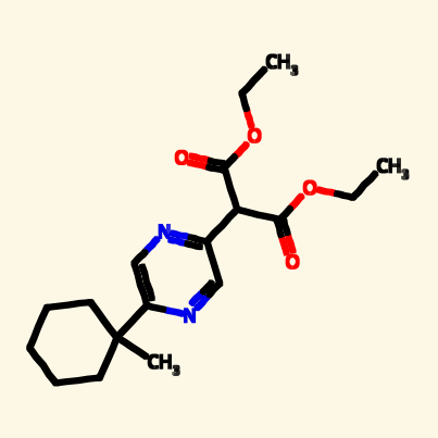 CCOC(=O)C(C(=O)OCC)c1cnc(C2(C)CCCCC2)cn1